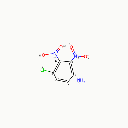 N.O=[N+]([O-])c1cccc(Cl)c1[N+](=O)[O-]